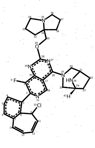 Fc1c(-c2cccc3c2C(Cl)C=CC=C3)ncc2c(N3CC4CC[C@H](C3)N4)nc(OCC34CCCN3CCC4)nc12